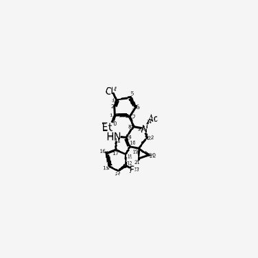 CCc1cc(Cl)ccc1C1C2=C(C3C(F)=CC=CC3N2)C2(CC2)CN1C(C)=O